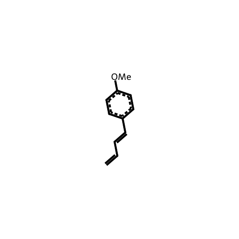 C=C/C=C/c1ccc(OC)cc1